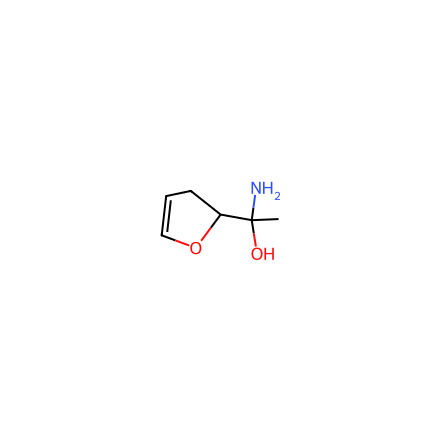 CC(N)(O)C1CC=CO1